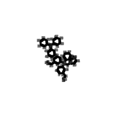 S=Cc1cccc([Si](Cn2ccnc2)(c2ccccc2)c2cccc(C=S)c2)c1.c1ccc(B(c2ccccc2)c2ccccc2)cc1